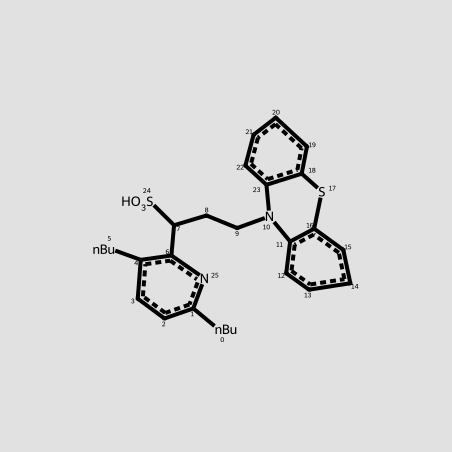 CCCCc1ccc(CCCC)c(C(CCN2c3ccccc3Sc3ccccc32)S(=O)(=O)O)n1